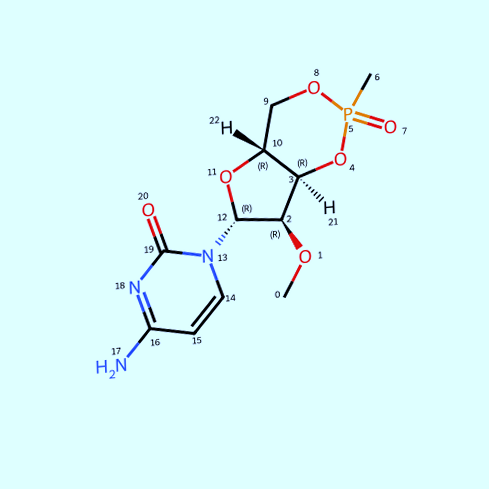 CO[C@@H]1[C@@H]2OP(C)(=O)OC[C@H]2O[C@H]1n1ccc(N)nc1=O